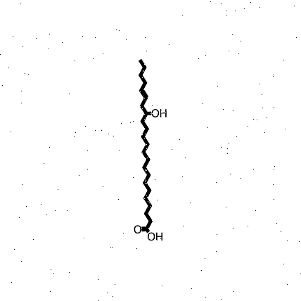 CCCCC=CCC(O)CCCCCCCCCCCCCCC(=O)O